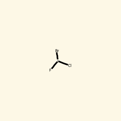 FI(Cl)Br